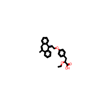 CCOC(Cc1ccc(OC/C=C2/c3ccccc3C=C(C)c3ccccc32)cc1)C(=O)O